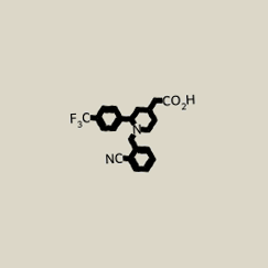 N#Cc1ccccc1CN1CCC(CC(=O)O)CC1c1ccc(C(F)(F)F)cc1